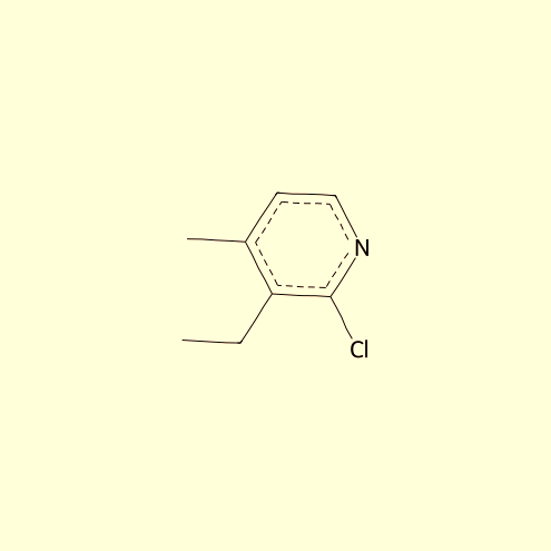 CCc1c(C)ccnc1Cl